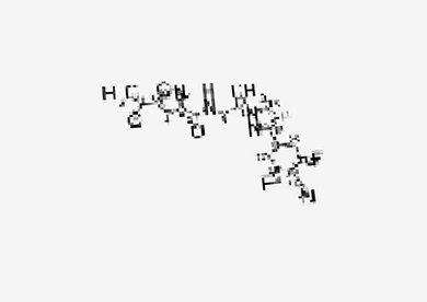 CC(=O)c1cc(C(=O)NCC(C)n2ccc(-c3cc(F)c(C#N)c(F)c3)n2)no1